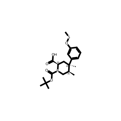 CSOc1cccc([C@]2(C)C[C@H](C(=O)O)N(C(=O)OC(C)(C)C)C[C@@H]2C)c1